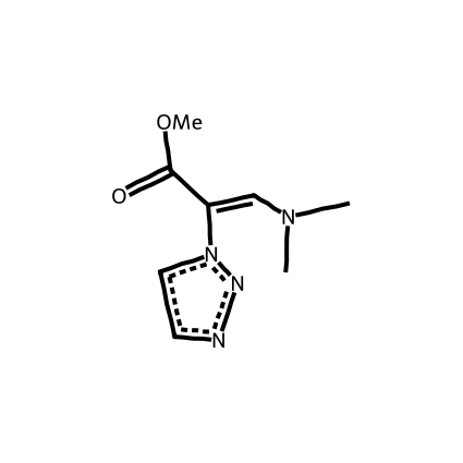 COC(=O)/C(=C/N(C)C)n1ccnn1